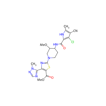 COC(=O)c1sc(N2CCC(NC(=O)c3[nH]c(C)c(C#N)c3Cl)C(OC)C2)nc1-c1ncnn1C